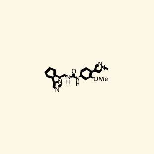 COc1cc(NC(=O)NCC2c3ccccc3-c3cncn32)ccc1-c1cnn(C)c1